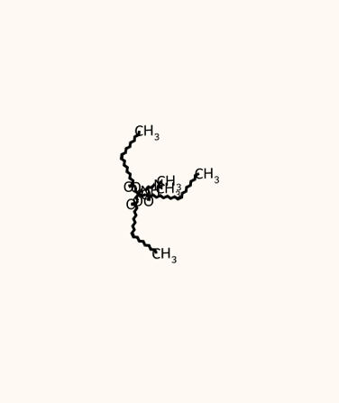 CCCCCCCC/C=C\CCCCCCCC(=O)OCC(CNCCCN(C)C)(COC(=O)CCCCCCC/C=C\CCCCCCCC)COC(=O)CCCCCCC/C=C\CCCCCCCC